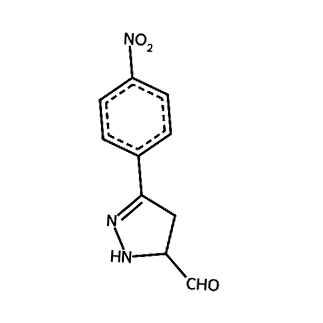 O=CC1CC(c2ccc([N+](=O)[O-])cc2)=NN1